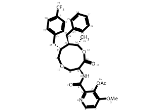 COc1ccnc(C(=O)N[C@H]2COC[C@H](Cc3ccc(C(F)(F)F)cc3)[C@@H](Cc3ccccc3)[C@H](C)OC2=O)c1OC(C)=O